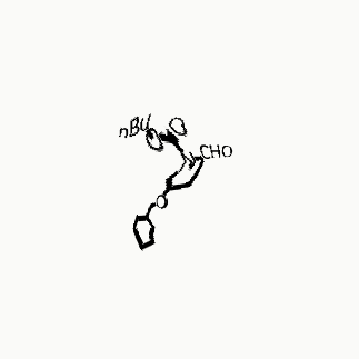 CCCCOC(=O)N1CC(OCc2ccccc2)CC1C=O